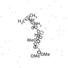 COc1ccc(C[C@H]2COC(=O)[C@@H]2Cc2ccc(OC(=O)N[C@H]3CCCC[C@@H]3OCCOC(=O)[C@@H](N)COCNC34CC5CC(C)(CC(C)(C5)C3)C4)c(OC)c2)cc1OC